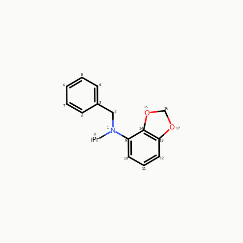 CC(C)N(Cc1ccccc1)c1cccc2c1OCO2